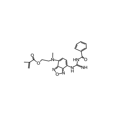 C=C(C)C(=O)OCCN(C)c1ccc(NC(=N)NC(=O)c2ccccc2)c2nonc12